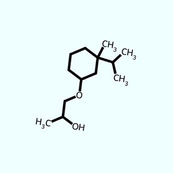 CC(O)COC1CCCC(C)(C(C)C)C1